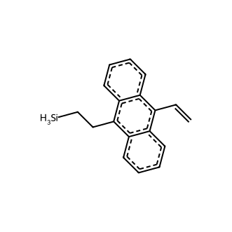 C=Cc1c2ccccc2c(CC[SiH3])c2ccccc12